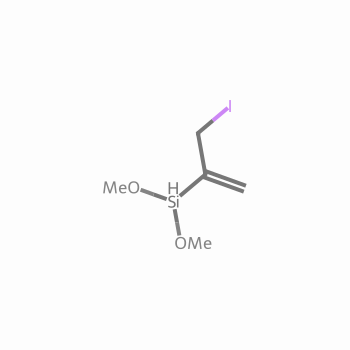 C=C(CI)[SiH](OC)OC